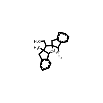 CCC(C1(C)Cc2ccccc2C1C)C1(C)Cc2ccccc2C1C